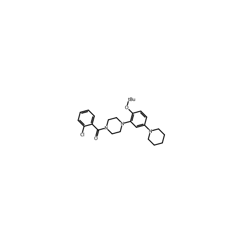 CC(C)(C)Oc1ccc(N2CCCCC2)cc1N1CCN(C(=O)c2ccccc2Cl)CC1